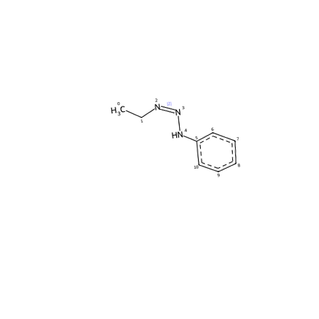 CC/N=N\Nc1ccccc1